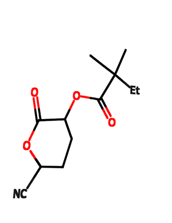 CCC(C)(C)C(=O)OC1CCC(C#N)OC1=O